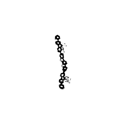 CC1(C)c2cc(-c3ccccc3)ccc2-c2ccc(-c3ccc4c(c3)oc3c4ccc4c5ccc(-c6ccc7c(c6)C(C)(C)c6cc(-c8ccccc8)ccc6-7)cc5oc43)cc21